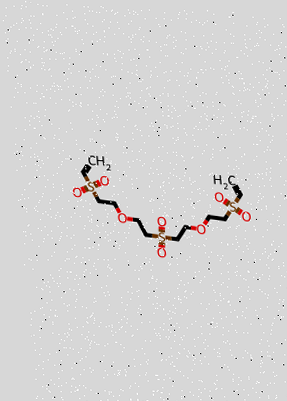 C=CS(=O)(=O)CCOCCS(=O)(=O)CCOCCS(=O)(=O)C=C